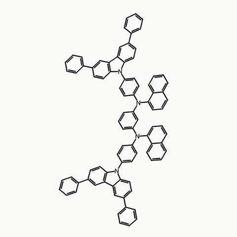 c1ccc(-c2ccc3c(c2)c2cc(-c4ccccc4)ccc2n3-c2ccc(N(c3cccc(N(c4ccc(-n5c6ccc(-c7ccccc7)cc6c6cc(-c7ccccc7)ccc65)cc4)c4cccc5ccccc45)c3)c3cccc4ccccc34)cc2)cc1